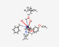 COc1ccc2c(c1)[C@]13CCN(CC4CC4)[C@H](C2)[C@]1(O)CCN(Cc1ccccc1)C(=O)N(COCC[Si](C)(C)C)C(=O)C3